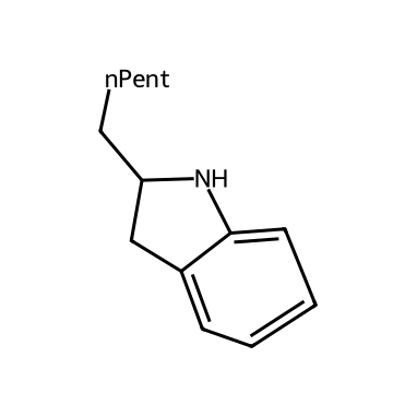 CCCCCCC1Cc2ccccc2N1